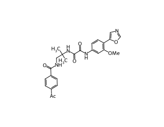 COc1cc(NC(=O)C(=O)NC(C)(C)CNC(=O)c2ccc(C(C)=O)cc2)ccc1-c1cnco1